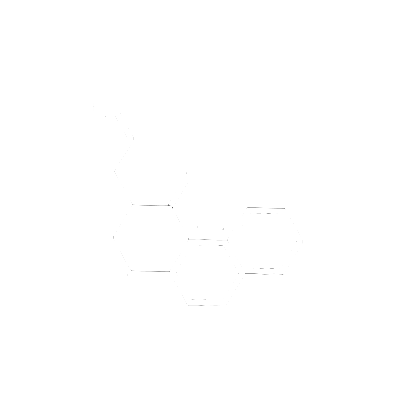 C=CCC1CCc2ccc3ccccc3c2C1=O